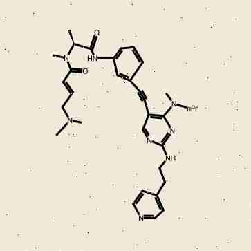 CCCN(C)c1nc(NCCc2ccncc2)ncc1C#Cc1cccc(NC(=O)[C@H](C)N(C)C(=O)C=CCN(C)C)c1